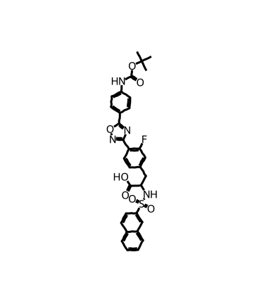 CC(C)(C)OC(=O)Nc1ccc(-c2nc(-c3ccc(CC(NS(=O)(=O)c4ccc5ccccc5c4)C(=O)O)cc3F)no2)cc1